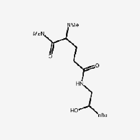 CCCCC(O)CNC(=O)CCC(NC)C(=O)NC